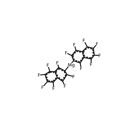 Fc1c(F)c(F)c2c(F)[c]([Mg][c]3c(F)c(F)c4c(F)c(F)c(F)c(F)c4c3F)c(F)c(F)c2c1F